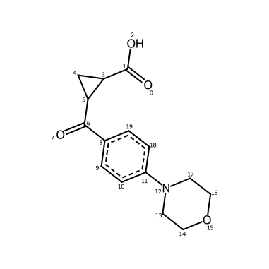 O=C(O)C1CC1C(=O)c1ccc(N2CCOCC2)cc1